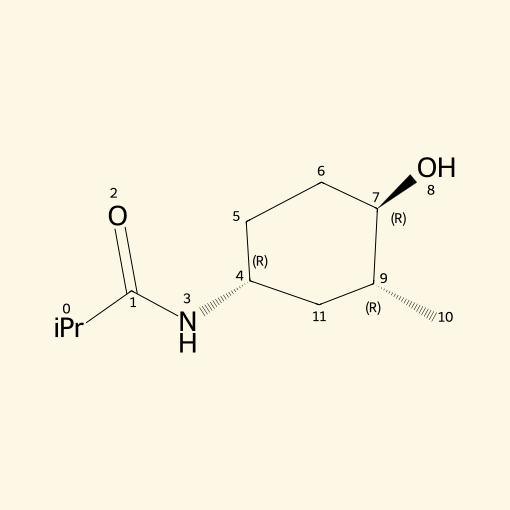 CC(C)C(=O)N[C@@H]1CC[C@@H](O)[C@H](C)C1